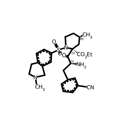 CCOC(=O)[C@@]1(C(=O)[C@@H](N)Cc2cccc(C#N)c2)C[C@H](C)CCN1S(=O)(=O)c1ccc2c(c1)CN(C)CC2